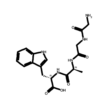 C[C@H](NC(=O)CNC(=O)CN)C(=O)N[C@@H](Cc1c[nH]c2ccccc12)C(=O)O